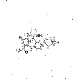 CC[C@@H](Nc1nc(Nc2ccc(C3CC[N+](C)(O)CC3)cc2)c(C(N)=O)cc1F)C(N)=O